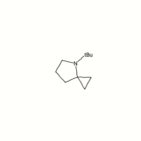 CC(C)(C)N1CCCC12CC2